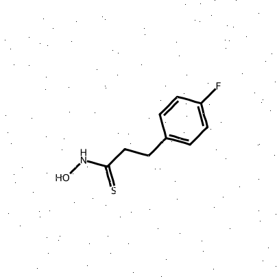 ONC(=S)CCc1ccc(F)cc1